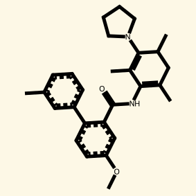 COc1ccc(-c2cccc(C)c2)c(C(=O)NC2=C(C)CC(C)C(N3CCCC3)=C2C)c1